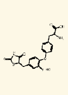 Cl.N[C@@H](Cc1ccc(Oc2ccc(CC3SC(=O)NC3=O)cc2F)cc1)C(=O)O